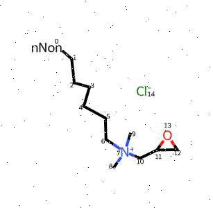 CCCCCCCCCCCCCCC[N+](C)(C)CC1CO1.[Cl-]